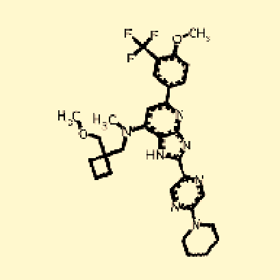 COCC1(CN(C)c2cc(-c3ccc(OC)c(C(F)(F)F)c3)nc3nc(-c4cnc(N5CCCCC5)cn4)[nH]c23)CCC1